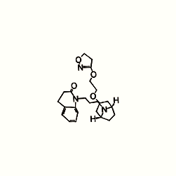 O=C1CCc2ccccc2N1CCCN1[C@@H]2CC[C@H]1CC(OCCOC1=NOCC1)C2